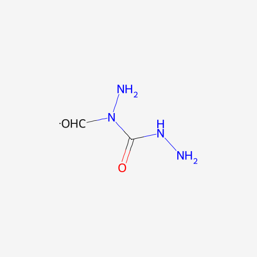 NNC(=O)N(N)[C]=O